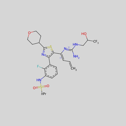 C=C/C=C(\N=C(/N)NCC(O)C(F)(F)F)c1sc(C2CCOCC2)nc1-c1cccc(NS(=O)(=O)CCC)c1F